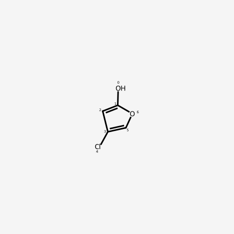 Oc1cc(Cl)co1